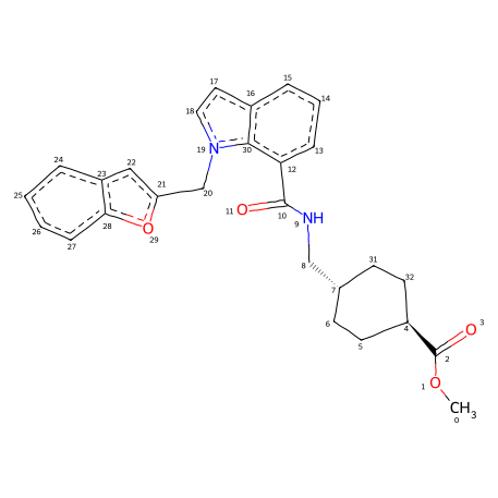 COC(=O)[C@H]1CC[C@H](CNC(=O)c2cccc3ccn(Cc4cc5ccccc5o4)c23)CC1